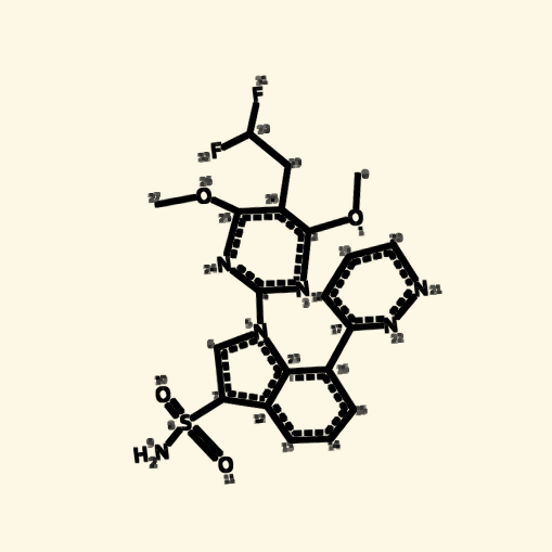 COc1nc(-n2cc(S(N)(=O)=O)c3cccc(-c4cccnn4)c32)nc(OC)c1CC(F)F